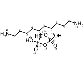 NCCCCCCCCCCN.O=P(O)(O)OP(=O)(O)O